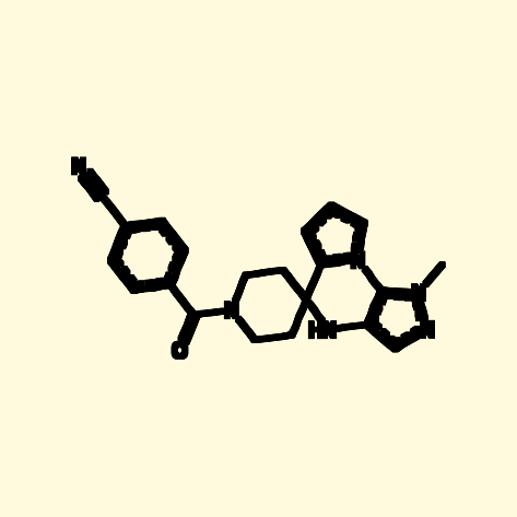 Cn1ncc2c1-n1cccc1C1(CCN(C(=O)c3ccc(C#N)cc3)CC1)N2